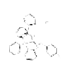 O=C(NC(=C(Cl)Sc1ccc(Cl)cc1)[P+](c1ccccc1)(c1ccccc1)c1ccccc1)c1ccccc1.[Cl-]